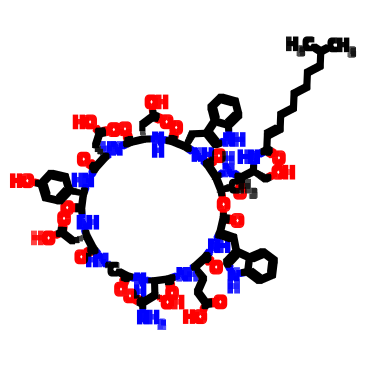 CC(C)CCCCCC/C=C/C(=O)N[C@@H](CO)C(=O)N[C@@H]1C(=O)N[C@H](Cc2c[nH]c3ccccc23)C(=O)N[C@@H](CC(=O)O)C(=O)N[C@@H](CC(=O)O)C(=O)N[C@H](c2ccc(O)cc2)C(=O)N[C@@H](CC(=O)O)C(=O)NCC(=O)N[C@H]([C@H](O)C(N)=O)C(=O)N[C@H](CCC(=O)O)C(=O)N/C(=C\c2c[nH]c3ccccc23)C(=O)O[C@@H]1C